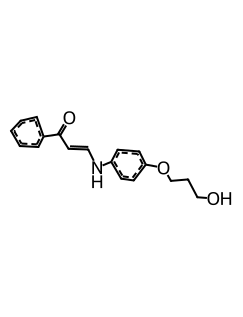 O=C(C=CNc1ccc(OCCCO)cc1)c1ccccc1